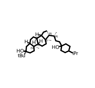 CC(C)C1CCC(O)(CC[C@@H](C)[C@H]2CC[C@H]3[C@@H]4CC[C@H]5C[C@](O)(C(C)(C)C)CC[C@]5(C)[C@H]4CC[C@]23C)CC1